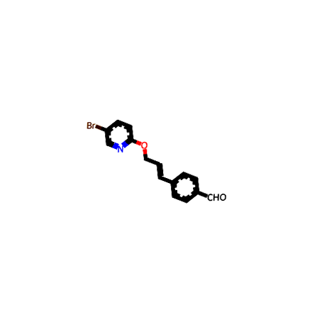 O=Cc1ccc(C=CCOc2ccc(Br)cn2)cc1